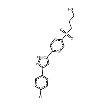 O=S(=O)(CCCO)c1ccc(-c2cc(-c3ccc(Cl)cc3)n[nH]2)cc1